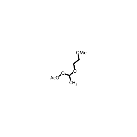 COCCOC(C)OOC(C)=O